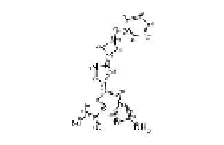 CC[C@H](C)NC(=O)c1cc(-c2cnn(C3CN(Cc4ccccc4)C3)c2)cn2nc(N)nc12